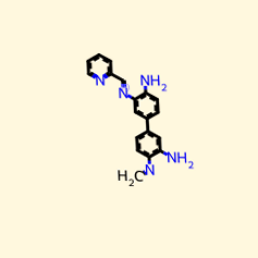 C=Nc1ccc(-c2ccc(N)c(/N=C/c3ccccn3)c2)cc1N